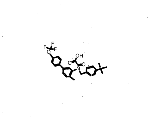 Cc1ccc(-c2ccc(OC(F)(F)F)cc2)cc1N(Cc1ccc(C(C)(C)C)cc1)C(=O)C(=O)O